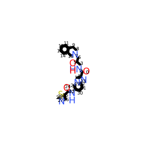 O=C(NC[C@H](O)CN1CCc2ccccc2C1)c1cn2cc(NC(=O)c3cncs3)ccc2n1